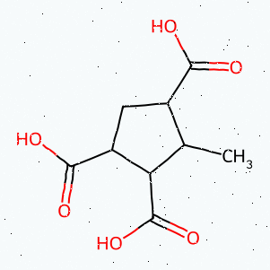 CC1C(C(=O)O)CC(C(=O)O)C1C(=O)O